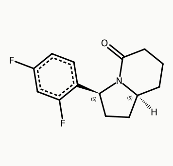 O=C1CCC[C@H]2CC[C@@H](c3ccc(F)cc3F)N12